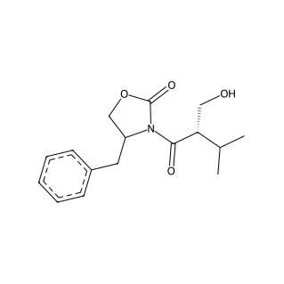 CC(C)[C@@H](CO)C(=O)N1C(=O)OCC1Cc1ccccc1